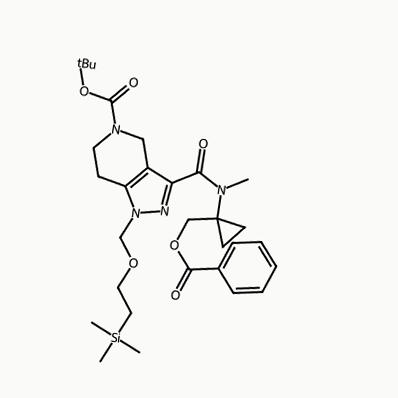 CN(C(=O)c1nn(COCC[Si](C)(C)C)c2c1CN(C(=O)OC(C)(C)C)CC2)C1(COC(=O)c2ccccc2)CC1